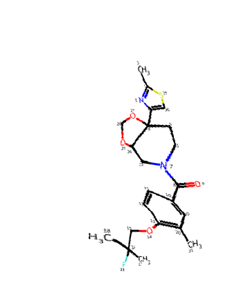 Cc1nc(C23CCN(C(=O)c4ccc(OCC(C)(C)F)c(C)c4)CC2OCO3)cs1